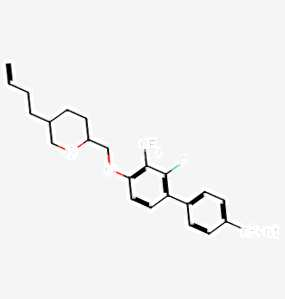 C=CCCC1CCC(COc2ccc(-c3ccc(CCCCC)cc3)c(F)c2C(F)(F)F)OC1